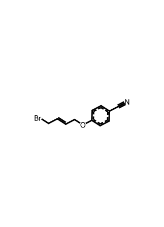 N#Cc1ccc(OCC=CCBr)cc1